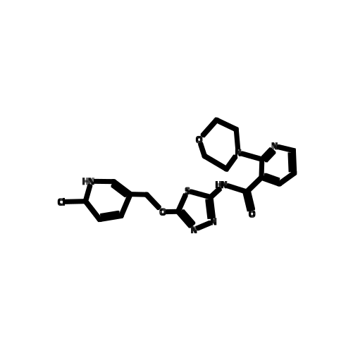 O=C(Nc1nnc(OCC2=CNC(Cl)C=C2)s1)c1cccnc1N1CCOCC1